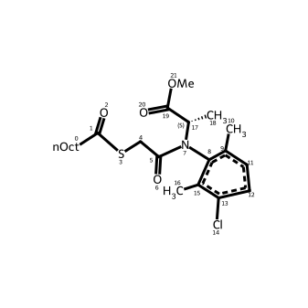 CCCCCCCCC(=O)SCC(=O)N(c1c(C)ccc(Cl)c1C)[C@@H](C)C(=O)OC